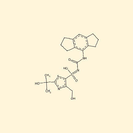 CC(C)(O)c1nc(CO)c(S(=O)(O)=NC(=O)Nc2c3c(cc4c2CCC4)CCC3)s1